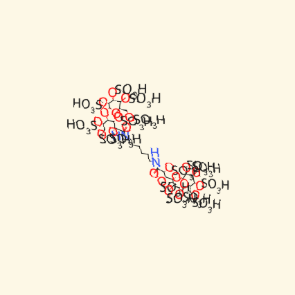 O=C(NCCCCCCNC(=O)[C@H](OS(=O)(=O)O)[C@@H](OS(=O)(=O)O)[C@H](O[C@@H]1O[C@H](COS(=O)(=O)O)[C@H](OS(=O)(=O)O)[C@H](OS(=O)(=O)O)[C@H]1OS(=O)(=O)O)[C@@H](COS(=O)(=O)O)OS(=O)(=O)O)[C@H](OS(=O)(=O)O)[C@@H](OS(=O)(=O)O)[C@H](O[C@@H]1O[C@H](COS(=O)(=O)O)[C@H](OS(=O)(=O)O)[C@H](OS(=O)(=O)O)[C@H]1OS(=O)(=O)O)[C@@H](COS(=O)(=O)O)OS(=O)(=O)O